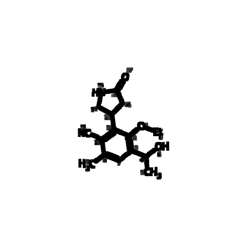 CCOc1c(C(C)O)cc(C)c(C#N)c1C1CNC(=O)C1